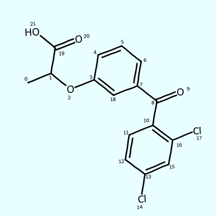 CC(Oc1cccc(C(=O)c2ccc(Cl)cc2Cl)c1)C(=O)O